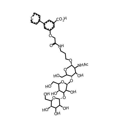 CC(=O)NC1C(O)[C@H](O[C@@H]2OC(CO)[C@H](O)C(O[C@H]3OC(CO)[C@H](O)C(O)C3O)C2O)C(CO)O[C@H]1OCCCNC(=O)COc1cc(C(=O)O)cc(-c2ccccc2)c1